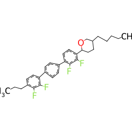 CCCCCC1CCC(c2ccc(-c3ccc(-c4ccc(CCC)c(F)c4F)cc3)c(F)c2F)OC1